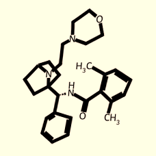 Cc1cccc(C)c1C(=O)N[C@H](c1ccccc1)C12CCC(CC1)N2CCN1CCOCC1